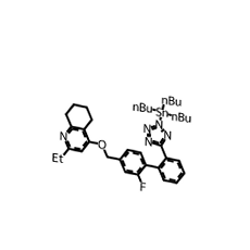 CCC[CH2][Sn]([CH2]CCC)([CH2]CCC)[n]1nnc(-c2ccccc2-c2ccc(COc3cc(CC)nc4c3CCCC4)cc2F)n1